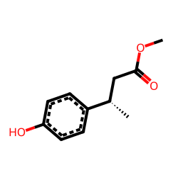 COC(=O)C[C@H](C)c1ccc(O)cc1